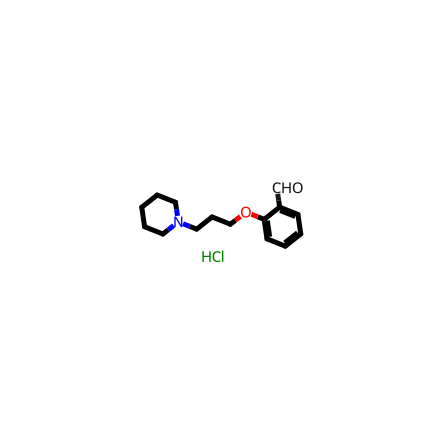 Cl.O=Cc1ccccc1OCCCN1CCCCC1